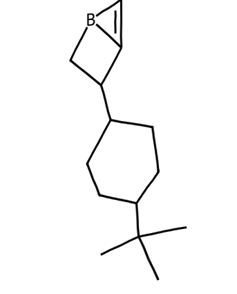 CC(C)(C)C1CCC(C2CB3C=C32)CC1